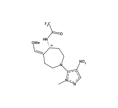 COC=C1CCN(c2c([N+](=O)[O-])cnn2C)CC[C@H]1NC(=O)C(F)(F)F